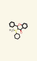 C[S+](C1CCCCC1)C1C(=O)c2ccccc2OC1c1ccccc1